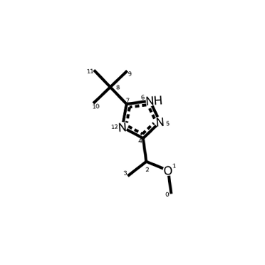 COC(C)c1n[nH]c(C(C)(C)C)n1